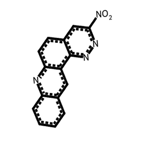 O=[N+]([O-])c1cc2ccc3nc4ccccc4cc3c2nn1